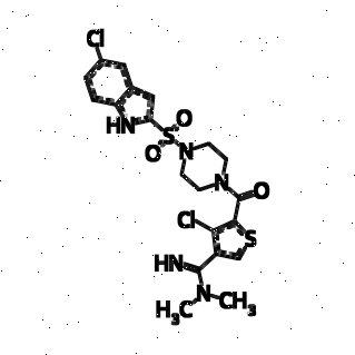 CN(C)C(=N)c1csc(C(=O)N2CCN(S(=O)(=O)c3cc4cc(Cl)ccc4[nH]3)CC2)c1Cl